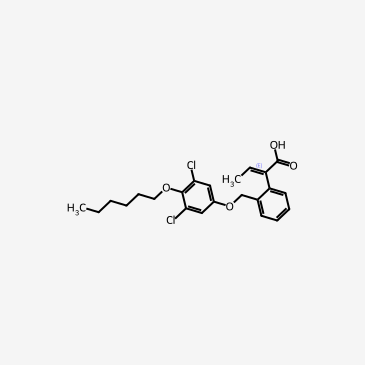 C/C=C(/C(=O)O)c1ccccc1COc1cc(Cl)c(OCCCCCC)c(Cl)c1